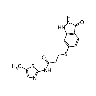 Cc1cnc(NC(=O)CCSc2ccc3c(=O)[nH][nH]c3c2)s1